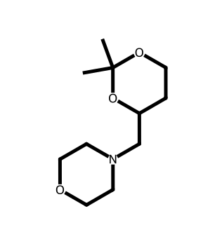 CC1(C)OCCC(CN2CCOCC2)O1